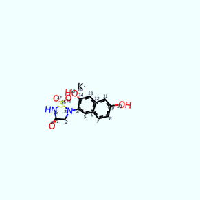 O=C1CN(c2cc3ccc(O)cc3cc2O)S(=O)(=O)N1.[K]